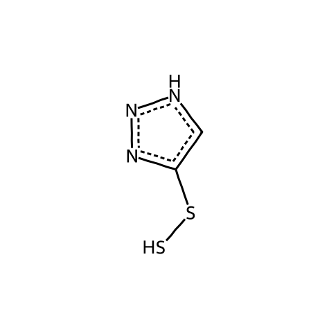 SSc1c[nH]nn1